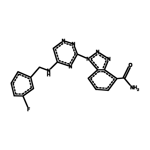 NC(=O)c1cccc2c1nnn2-c1nncc(NCc2cccc(F)c2)n1